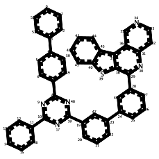 c1ccc(-c2ccc(-c3nc(-c4ccccc4)nc(-c4cccc(-c5cccc(-c6nc7ccncc7c7c6sc6ccccc67)c5)c4)n3)cc2)cc1